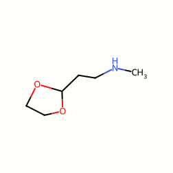 CNCCC1OCCO1